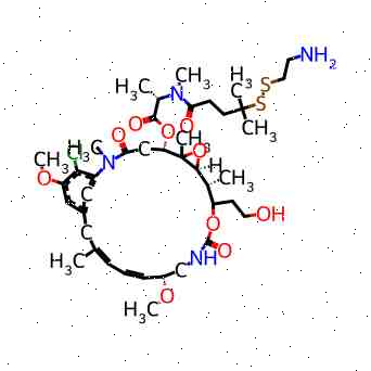 COc1cc2cc(c1Cl)N(C)C(=O)C[C@H](OC(=O)[C@H](C)N(C)C(=O)CCC(C)(C)SSCCN)C1(C)O[C@H]1[C@H](C)C(CCO)OC(=O)NC[C@H](OC)/C=C\C=C(\C)C2